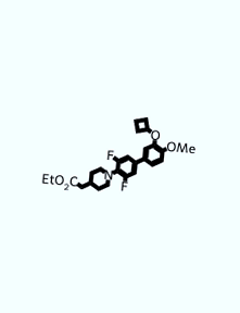 CCOC(=O)CC1CCN(c2c(F)cc(-c3ccc(OC)c(OC4CCC4)c3)cc2F)CC1